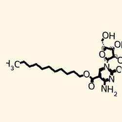 CCCCCCCCCCCOC(=O)c1cn([C@@H]2O[C@H](CO)[C@@H](O)[C@@H]2O)c(=O)nc1N